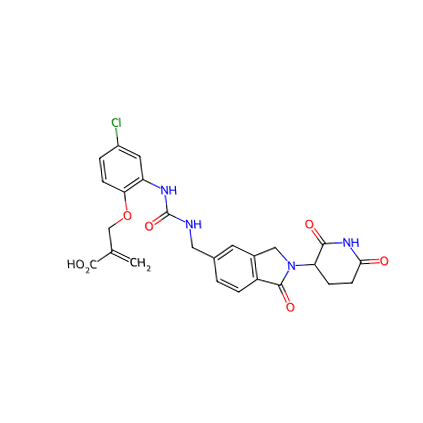 C=C(COc1ccc(Cl)cc1NC(=O)NCc1ccc2c(c1)CN(C1CCC(=O)NC1=O)C2=O)C(=O)O